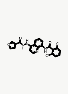 O=C(NNc1ccnc2c(NC(=O)c3c(Cl)cccc3Cl)cccc12)c1ccoc1